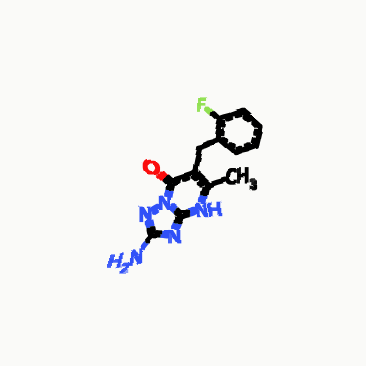 Cc1[nH]c2nc(N)nn2c(=O)c1Cc1ccccc1F